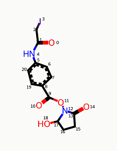 O=C(CI)Nc1ccc(C(=O)ON2C(=O)CCC2O)cc1